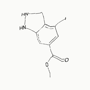 COC(=O)c1cc(I)c2c(c1)NNC2